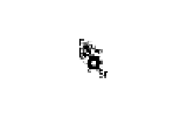 CN=S(=O)(c1ccc(Br)cc1)C(F)(F)F